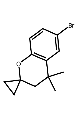 CC1(C)CC2(CC2)Oc2ccc(Br)cc21